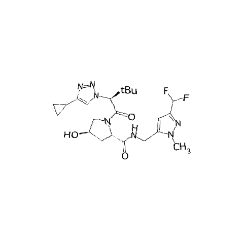 Cn1nc(C(F)F)cc1CNC(=O)[C@@H]1C[C@@H](O)CN1C(=O)[C@@H](n1cc(C2CC2)nn1)C(C)(C)C